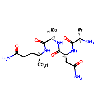 CC[C@H](C)[C@H](NC(=O)[C@H](CC(N)=O)NC(=O)[C@@H](N)C(C)C)C(=O)N[C@@H](CCC(N)=O)C(=O)O